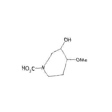 COC1CCN(C(=O)O)CC1O